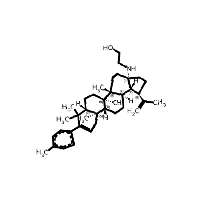 C=C(C)[C@@H]1CC[C@]2(NCCO)CC[C@]3(C)[C@H](CC[C@@H]4[C@@]5(C)CC=C(c6ccc(C)cc6)C(C)(C)[C@@H]5CC[C@]43C)[C@@H]12